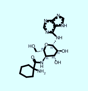 NC1(C(=O)N[C@@H]2[C@@H](O)[C@H](O)[C@@H](Nc3ncnc4nc[nH]c34)O[C@H]2CO)CCCCC1